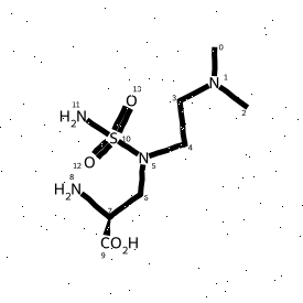 CN(C)CCN(C[C@H](N)C(=O)O)S(N)(=O)=O